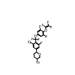 CCC1CCC(c2cc(F)c(C(F)(F)Oc3cc(F)c(OC(F)=C(F)F)c(F)c3)c(Cl)c2)OC1